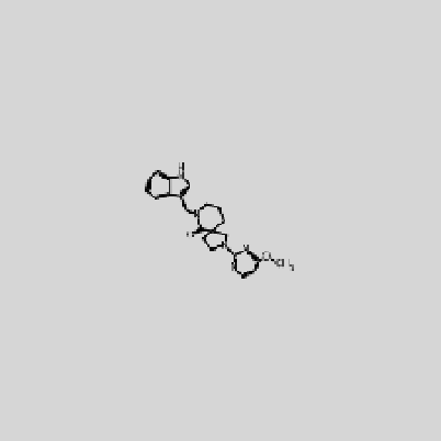 COc1ccnc(N2CCC3(CCCN(Cc4c[nH]c5ccccc45)C3=O)C2)n1